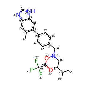 Cc1cc2nc[nH]c2cc1-c1ccc(CN(CCC(C)C)OC(=O)C(F)(F)F)cc1